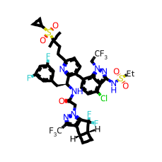 CCS(=O)(=O)Nc1nn(CC(F)(F)F)c2c(-c3ccc(CCC(C)(C)S(=O)(=O)C4CC4)nc3[C@H](Cc3cc(F)cc(F)c3)NC(=O)Cn3nc(C(F)(F)F)c4c3C(F)(F)[C@@H]3CC[C@H]43)ccc(Cl)c12